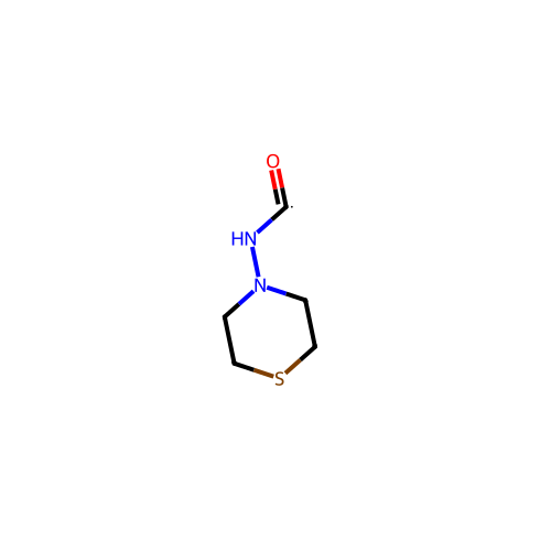 O=[C]NN1CCSCC1